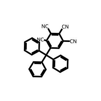 N#Cc1cc(C(c2ccccc2)(c2ccccc2)c2ccccc2)c(C#N)c(C#N)c1C#N